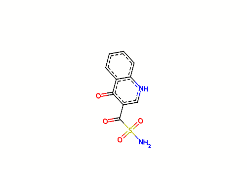 NS(=O)(=O)C(=O)c1c[nH]c2ccccc2c1=O